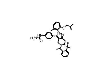 Cc1cccc(OCC(C)C)c1-n1nc2c(c1-c1ccc(NC(N)=O)cc1)CN(C(C)c1ccccc1C(F)(F)F)CC2